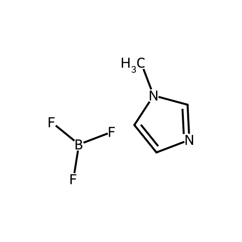 Cn1ccnc1.FB(F)F